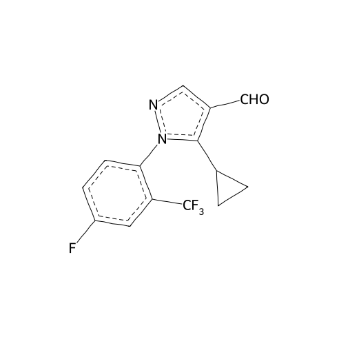 O=Cc1cnn(-c2ccc(F)cc2C(F)(F)F)c1C1CC1